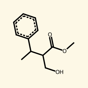 COC(=O)C(CO)C(C)c1ccccc1